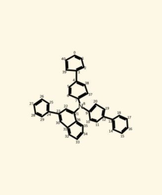 c1ccc(-c2ccc(N(c3ccc(-c4ccccc4)cc3)c3cc(-c4ccccc4)cc4ccccc34)cc2)cc1